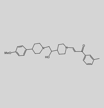 COc1ccc(C2CCN(CC(O)C3CCN(C=CC(=O)c4cccc(C)c4)CC3)CC2)cc1